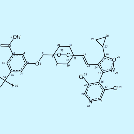 O=C(O)c1cc(OCC23CCC(/C=C/c4c(-c5c(Cl)cncc5Cl)noc4C4CC4)(CC2)CO3)cc(C(F)(F)F)c1